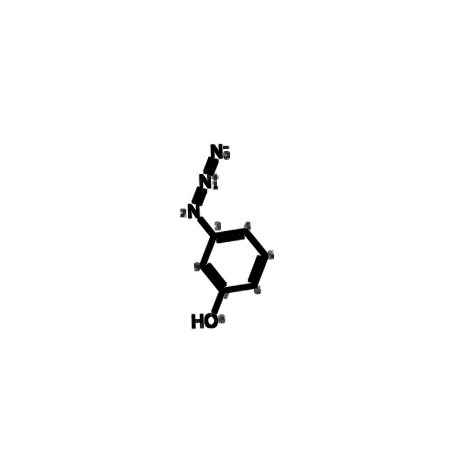 [N-]=[N+]=Nc1cccc(O)c1